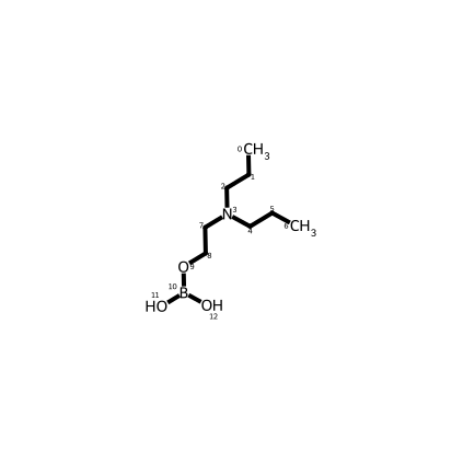 CCCN(CCC)CCOB(O)O